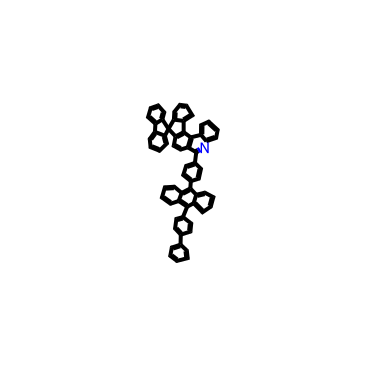 c1ccc(-c2ccc(-c3c4ccccc4c(-c4ccc(-c5nc6ccccc6c6c7c(ccc56)C5(c6ccccc6-c6ccccc65)c5ccccc5-7)cc4)c4ccccc34)cc2)cc1